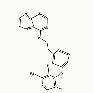 Fc1cnc(C(F)(F)F)c(F)c1Oc1cccc(CCNc2ncnc3nccnc23)c1